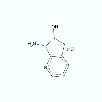 Cl.NC1c2ncccc2CC1O